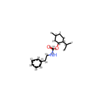 CC1CCC(C(C)C)C(OC(=O)NCCc2ccccc2)C1